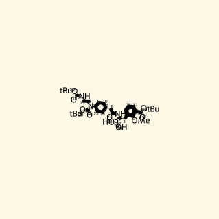 COc1c(C[C@@H](NC(=O)C[C@H]2CC[C@H](N(CCNC(=O)OC(C)(C)C)C(=O)OC(C)(C)C)CC2)B(O)O)cccc1C(=O)OC(C)(C)C